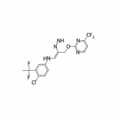 CC(F)(F)c1cc(N/C=C(/COc2nccc(C(F)(F)F)n2)N=N)ccc1Cl